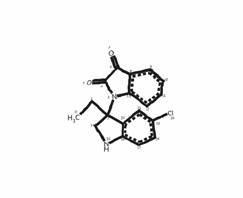 CCC1(N2C(=O)C(=O)c3ccccc32)CNc2ccc(Cl)cc21